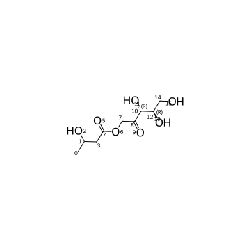 CC(O)CC(=O)OCC(=O)[C@H](O)[C@H](O)CO